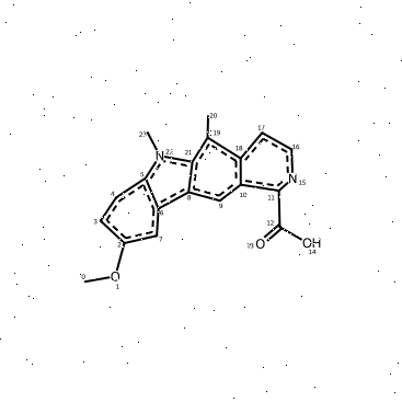 COc1ccc2c(c1)c1cc3c(C(=O)O)nccc3c(C)c1n2C